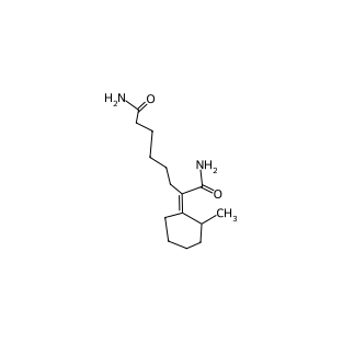 CC1CCCCC1=C(CCCCCC(N)=O)C(N)=O